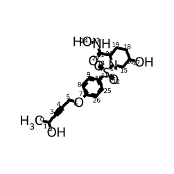 CC(O)C#CCOc1ccc(S(=O)(=O)N2CC(O)CCC2C(=O)NO)cc1